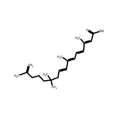 C=C(C)CCCC(C)(C)C/C=C/C(C)=C/C=C/C(C)=C/C(=O)O